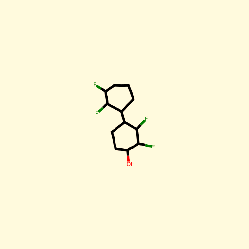 OC1CCC(C2CCCC(F)C2F)C(F)C1F